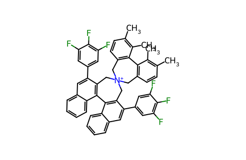 Cc1ccc2c(c1C)-c1c(ccc(C)c1C)C[N+]1(C2)Cc2c(-c3cc(F)c(F)c(F)c3)cc3ccccc3c2-c2c(c(-c3cc(F)c(F)c(F)c3)cc3ccccc23)C1